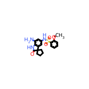 COc1ccccc1S(=O)(=O)Nc1cc(N)c2c(c1)C1(CCCC1)C(=O)N2